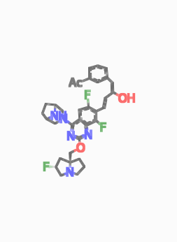 CC(=O)c1cccc(/C=C(O)\C=C\c2c(F)cc3c(N4CC5CCC(C4)N5)nc(OC[C@@]45CCCN4C[C@H](F)C5)nc3c2F)c1